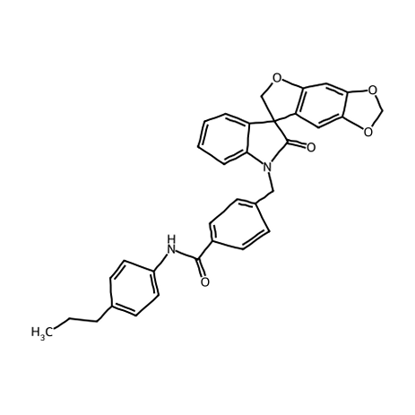 CCCc1ccc(NC(=O)c2ccc(CN3C(=O)C4(COc5cc6c(cc54)OCO6)c4ccccc43)cc2)cc1